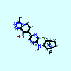 Cc1nnc2c(O)c(-c3cnc(N(C)[C@H]4C[C@@H]5CCC(N5)[C@H]4F)cn3)ccn12